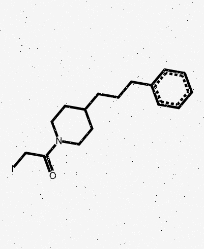 O=C(CI)N1CCC(CCCc2ccccc2)CC1